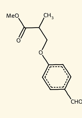 COC(=O)C(C)COc1ccc(C=O)cc1